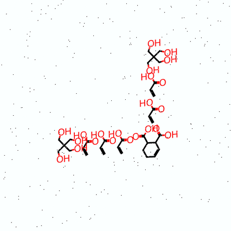 C=CC(=O)O.C=CC(=O)O.C=CC(=O)O.C=CC(=O)O.C=CC(=O)O.O=C(O)C1C=CCCC1C(=O)O.OCC(CO)(CO)CO.OCC(CO)(CO)CO